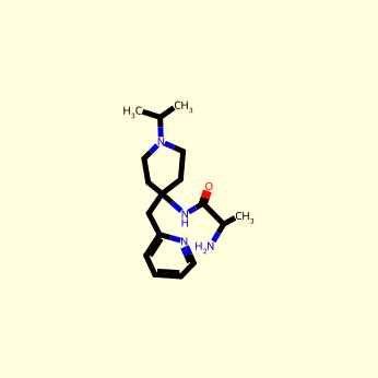 CC(N)C(=O)NC1(Cc2ccccn2)CCN(C(C)C)CC1